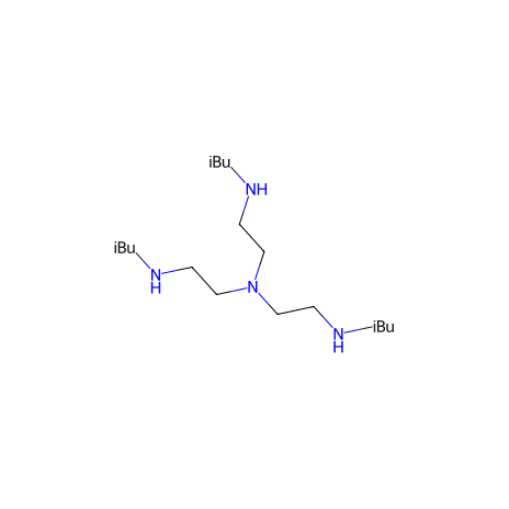 CCC(C)NCCN(CCNC(C)CC)CCNC(C)CC